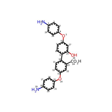 Nc1ccc(Oc2ccc(-c3ccc(Oc4ccc(N)cc4)cc3C(=O)O)c(O)c2)cc1